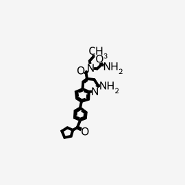 CCCN(CC(N)=O)C(=O)C1=Cc2ccc(-c3ccc(C(=O)C4CCCC4)cc3)cc2N=C(N)C1